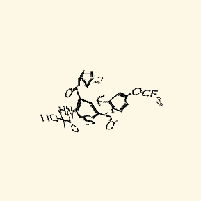 CC(C)(O)C(=O)Nc1sc([S+]([O-])c2ccc(OC(F)(F)F)cc2F)cc1C(N)=O